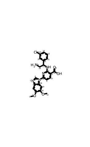 COc1cc2ncn(-c3ccc(C(=O)O)c(NC(CN)c4cccc(Cl)c4)n3)c2cc1OC